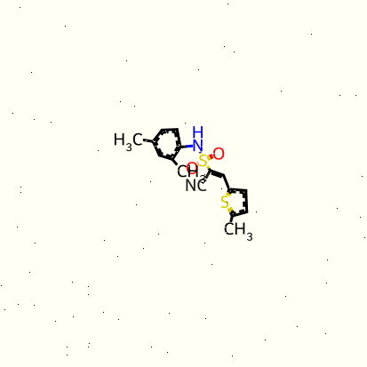 Cc1ccc(NS(=O)(=O)C(C#N)=Cc2ccc(C)s2)c(C)c1